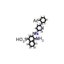 CC(=O)c1ccccc1-c1ccc(N=Nc2cc(S(=O)(=O)O)c3ccccc3c2N)cn1